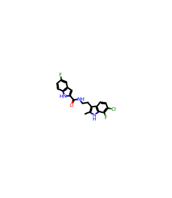 Cc1[nH]c2c(F)c(Cl)ccc2c1CCNC(=O)c1cc2cc(F)ccc2[nH]1